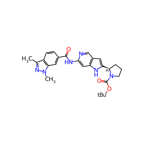 Cc1nn(C)c2cc(C(=O)Nc3cc4[nH]c([C@H]5CCCN5C(=O)OC(C)(C)C)cc4cn3)ccc12